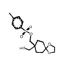 Cc1ccc(S(=O)(=O)OCC2(CO)CCC3(CC2)OCCO3)cc1